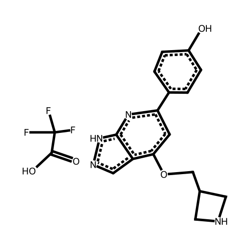 O=C(O)C(F)(F)F.Oc1ccc(-c2cc(OCC3CNC3)c3cn[nH]c3n2)cc1